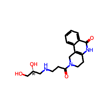 O=C(CCNC[C@@H](O)CO)N1CCc2[nH]c(=O)c3ccccc3c2C1